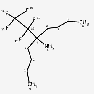 CCCCC(N)(CCCC)C(F)(F)C(F)(F)F